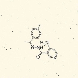 C/C(=N/NC(=O)c1ccccc1N)c1ccc(C)cc1